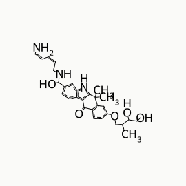 CC(COc1ccc2c(c1)C(C)(C)c1[nH]c3cc(C(O)NC/C=C\C=C/N)ccc3c1C2=O)C(O)CO